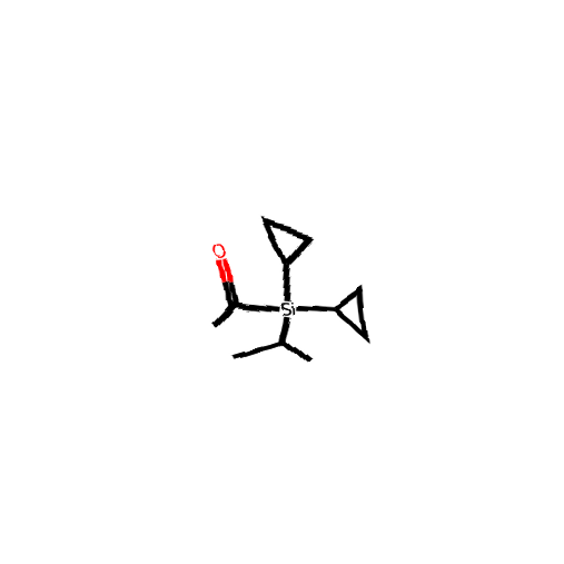 CC(=O)[Si](C(C)C)(C1CC1)C1CC1